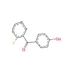 O=C(c1ccc(O)cc1)c1ccccc1F